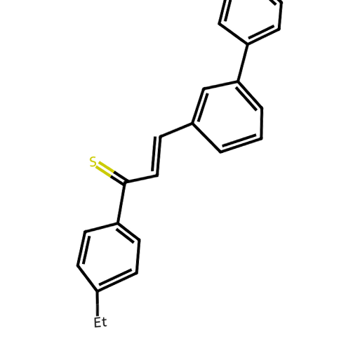 CCc1ccc(C(=S)C=Cc2cccc(-c3ccccc3)c2)cc1